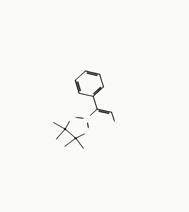 CCC=C(B1OC(C)(C)C(C)(C)O1)c1ccccc1